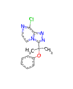 CC(C)(Oc1ccccc1)c1nnc2c(Cl)nccn12